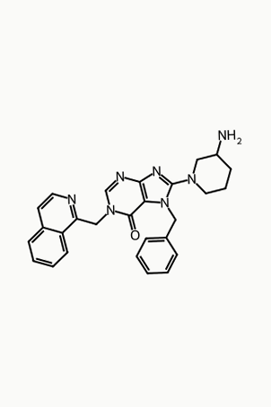 NC1CCCN(c2nc3ncn(Cc4nccc5ccccc45)c(=O)c3n2Cc2ccccc2)C1